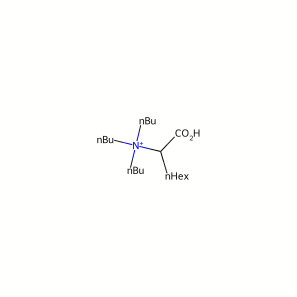 CCCCCCC(C(=O)O)[N+](CCCC)(CCCC)CCCC